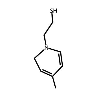 CC1=CCN(CCS)C=C1